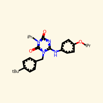 CC(C)Oc1ccc(Nc2nc(=O)n(C(C)C)c(=O)n2Cc2ccc(C(C)(C)C)cc2)cc1